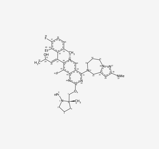 CCCN1CCC[C@@]1(C)COc1nc(N2CCCn3nc(NC)cc3C2)c2cnc(/C(=C/C(C)O)c3c(C)ccc(F)c3CC)c(F)c2n1